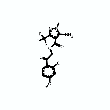 COc1ccc(C(=O)COC(=O)c2c(C(F)(F)F)nn(C)c2N)c(Cl)c1